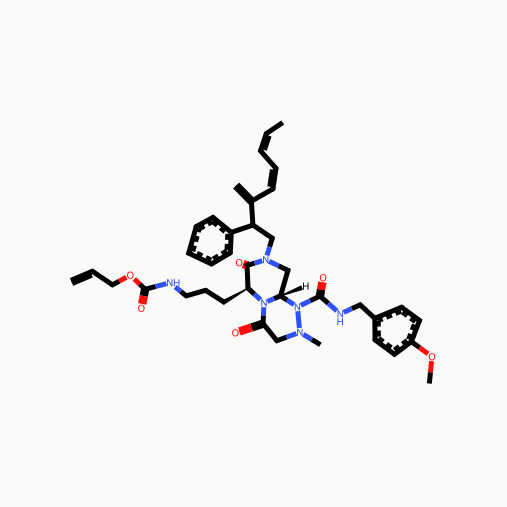 C=CCOC(=O)NCCC[C@H]1C(=O)N(CC(C(=C)/C=C\C=C/C)c2ccccc2)C[C@H]2N1C(=O)CN(C)N2C(=O)NCc1ccc(OC)cc1